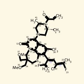 C=CC(=O)N1[C@H](C)CN(c2nc(=O)n3c4c(c(/C(=C/C(Cl)=C(\C)F)C(=C)F)c(C(F)(F)F)cc24)SCC(COC)(COC)C3)C[C@@H]1C